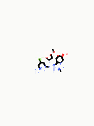 COc1cc2nc(C)nc(NCc3cc(C(F)(F)F)cc(N)n3)c2cc1OC(C)[C@@H]1CCCO1